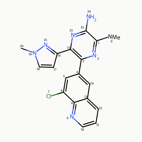 CNc1nc(-c2cc(Cl)c3ncccc3c2)c(-c2ccn(C)n2)nc1N